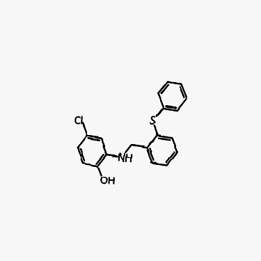 Oc1ccc(Cl)cc1NCc1ccccc1Sc1ccccc1